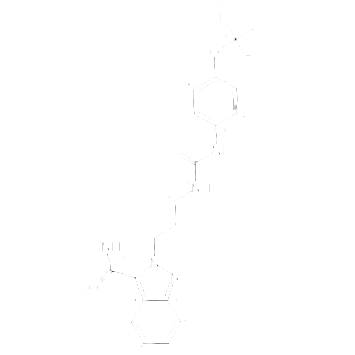 NC(=O)c1c2ccccc2nn1CCCNC(=O)Nc1ccc(OC(F)(F)F)cc1